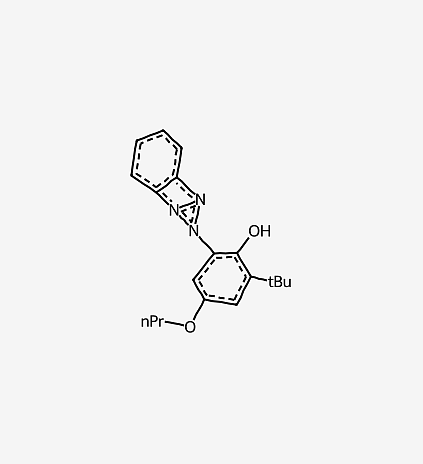 CCCOc1cc(-n2n3c4ccccc4n23)c(O)c(C(C)(C)C)c1